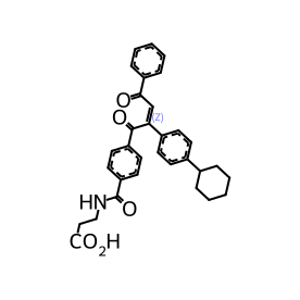 O=C(O)CCNC(=O)c1ccc(C(=O)/C(=C\C(=O)c2ccccc2)c2ccc(C3CCCCC3)cc2)cc1